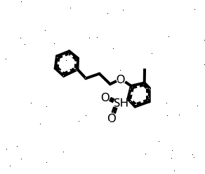 Cc1cccc([SH](=O)=O)c1OCCCc1ccccc1